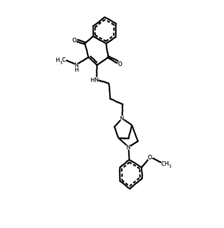 CNC1=C(NCCCN2CC3CC2CN3c2ccccc2OC)C(=O)c2ccccc2C1=O